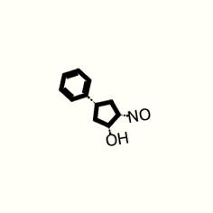 O=N[C@H]1C[C@@H](c2ccccc2)C[C@H]1O